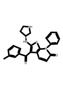 Cc1cccc(C(=O)c2c(N[C@H]3CCNC3)sc3c2ccc(=O)n3-c2ccccc2)c1